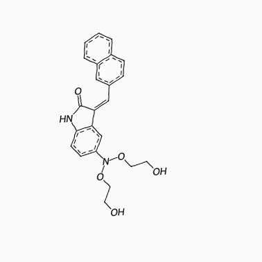 O=C1Nc2ccc(N(OCCO)OCCO)cc2C1=Cc1ccc2ccccc2c1